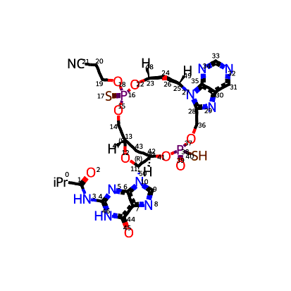 CC(C)C(=O)Nc1nc2c(ncn2[C@@H]2O[C@@H]3COP(=S)(OCCC#N)O[C@H]4C[C@H](C4)n4c(nc5cncnc54)COP(=O)(S)O[C@@H]2C3)c(=O)[nH]1